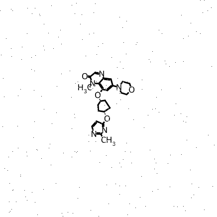 Cc1nccc(O[C@H]2CC[C@@H](Oc3cc(N4CCOCC4)cc4ncc(=O)n(C)c34)CC2)n1